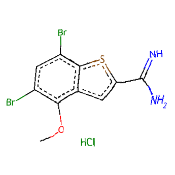 COc1c(Br)cc(Br)c2sc(C(=N)N)cc12.Cl